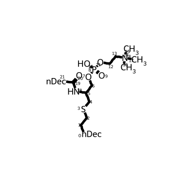 CCCCCCCCCCCCSCC(COP(=O)(O)OCC[N+](C)(C)C)NC(=O)CCCCCCCCCC